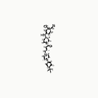 CC(C)(C)c1ccc(N2CCN(CCCC(=O)N3CCC(Nc4ccc(C#N)c(Cl)c4)CC3)CC2)cc1